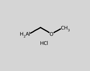 CO[CH2][AlH2].Cl